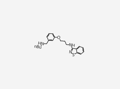 CCCCNCc1cccc(OCCCNc2nsc3ccccc23)c1